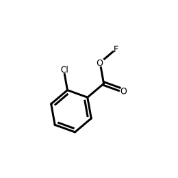 O=C(OF)c1ccccc1Cl